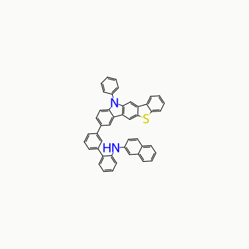 c1ccc(-n2c3ccc(-c4cccc(-c5ccccc5Nc5ccc6ccccc6c5)c4)cc3c3cc4sc5ccccc5c4cc32)cc1